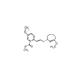 COC(=O)c1cc(OC)ccc1/C=C/CC1CCCCC(OC)=N1